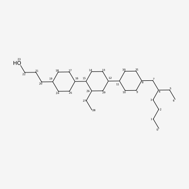 CCCCC(CC)CC1CCC(C2CCC(C3CCC(CCCO)CC3)C(CC)C2)CC1